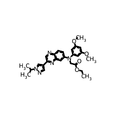 CCOC(=O)CN(c1cc(OC)cc(OC)c1)c1ccc2ncc(-c3cnn(C(C)C)c3)nc2c1